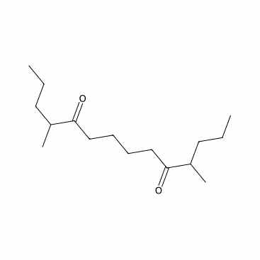 CCCC(C)C(=O)CCCCC(=O)C(C)CCC